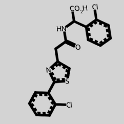 O=C(Cc1csc(-c2ccccc2Cl)n1)NC(C(=O)O)c1ccccc1Cl